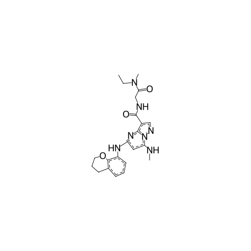 CCN(C)C(=O)CNC(=O)c1cnn2c(NC)cc(Nc3cccc4c3OCCC4)nc12